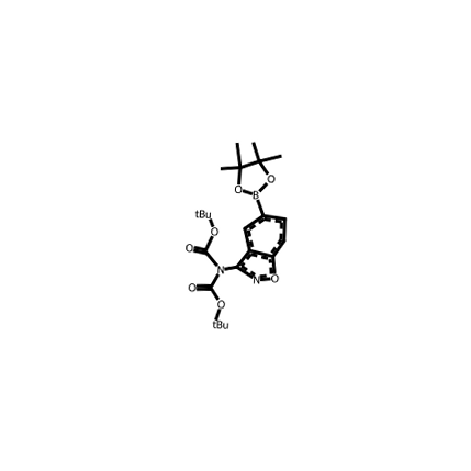 CC(C)(C)OC(=O)N(C(=O)OC(C)(C)C)c1noc2ccc(B3OC(C)(C)C(C)(C)O3)cc12